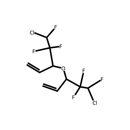 C=CC(OC(C=C)C(F)(F)C(F)Cl)C(F)(F)C(F)Cl